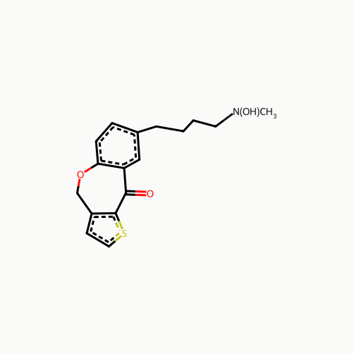 CN(O)CCCCc1ccc2c(c1)C(=O)c1sccc1CO2